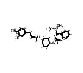 CN(C)c1nc(N[C@H]2CC[C@@H](CNCCc3ccc(Cl)c(Cl)c3)CC2)nc2ccccc12